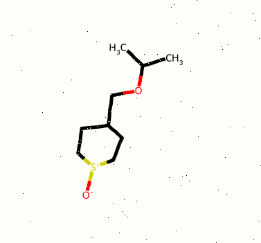 CC(C)OCC1CC[S+]([O-])CC1